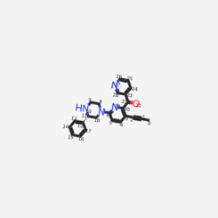 CC#Cc1ccc(N2CCN[C@@H](c3ccccc3)C2)nc1C(=O)c1cccnc1